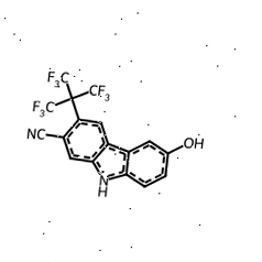 N#Cc1cc2[nH]c3ccc(O)cc3c2cc1C(C(F)(F)F)(C(F)(F)F)C(F)(F)F